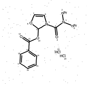 CCCN(CCC)C(=O)N1C=COC1OC(=O)c1ccccc1.Cl.Cl